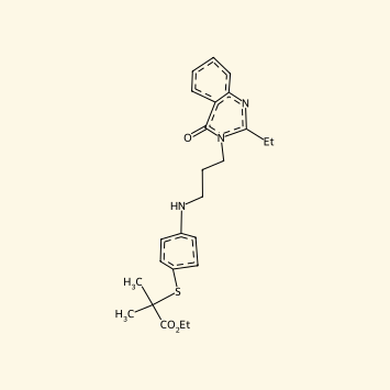 CCOC(=O)C(C)(C)Sc1ccc(NCCCn2c(CC)nc3ccccc3c2=O)cc1